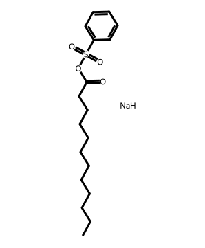 CCCCCCCCCCCC(=O)OS(=O)(=O)c1ccccc1.[NaH]